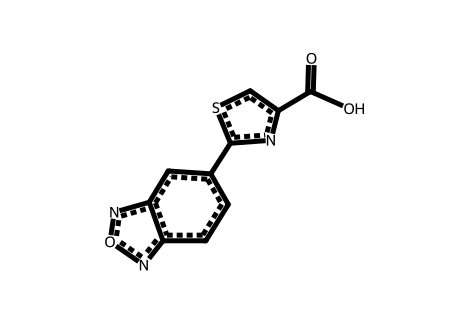 O=C(O)c1csc(-c2ccc3nonc3c2)n1